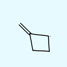 C=C1[CH]CC1